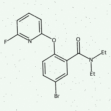 CCN(CC)C(=O)c1cc(Br)ccc1Oc1cccc(F)n1